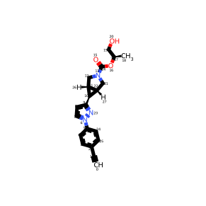 C#Cc1ccc(-n2ccc([C@H]3[C@@H]4CN(C(=O)O[C@H](C)CO)C[C@@H]43)n2)cc1